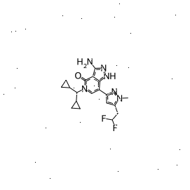 Cn1nc(-c2cn(C(C3CC3)C3CC3)c(=O)c3c(N)n[nH]c23)cc1CC(F)F